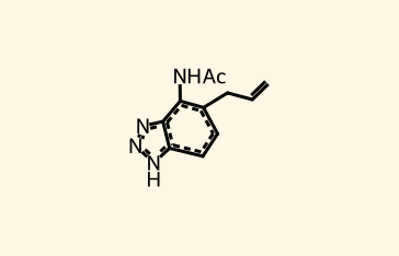 C=CCc1ccc2[nH]nnc2c1NC(C)=O